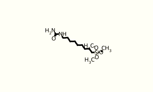 CO[Si](CCCCCCCCCNC(N)=O)(OC)OC